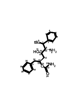 CC(C)(C)C(c1ccccc1)[C@H](N)[C@@H](O)C[C@H](Cc1ccccc1)OC(N)=O